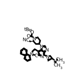 CN(C)C1CN(c2nc3c(c4c2ncn4[C@H]2CCN(C(=O)OC(C)(C)C)[C@H](CC#N)C2)CCN(c2cccc4ccccc24)C3)C1